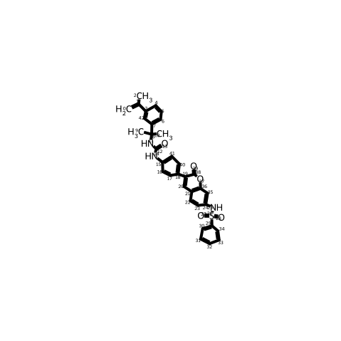 C=C(C)c1cccc(C(C)(C)NC(=O)Nc2ccc(-c3cc4ccc(NS(=O)(=O)c5ccccc5)cc4oc3=O)cc2)c1